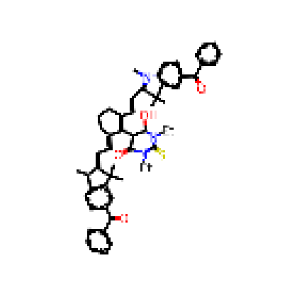 CCN1C(=O)C(C2=C(C=CC3=[N+](C)c4ccc(C(=O)c5ccccc5)cc4C3(C)C)CCCC2=CC=C2C(C)c3ccc(C(=O)c4ccccc4)cc3C2(C)C)C(O)N(CC)C1=S